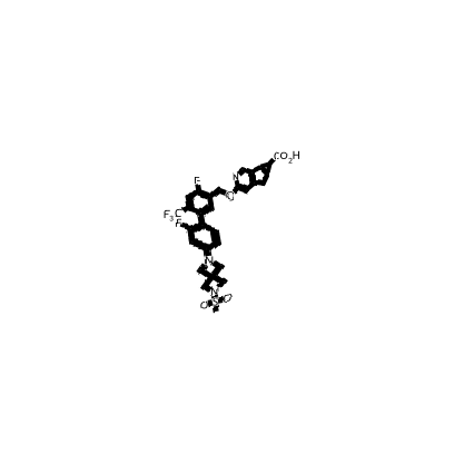 CS(=O)(=O)N1CC2(CN(c3ccc(-c4cc(COc5cc6c(cn5)C5C(C6)C5C(=O)O)c(F)cc4C(F)(F)F)c(F)c3)C2)C1